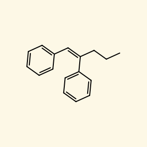 CCCC(=Cc1ccccc1)c1ccccc1